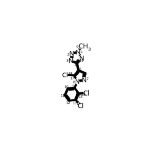 Cn1nnc(-c2cnn(-c3cccc(Cl)c3Cl)c2Cl)n1